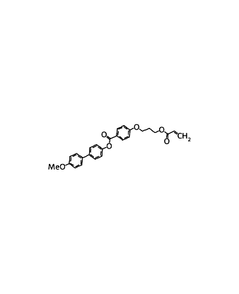 C=CC(=O)OCCCOc1ccc(C(=O)Oc2ccc(-c3ccc(OC)cc3)cc2)cc1